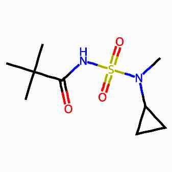 CN(C1CC1)S(=O)(=O)NC(=O)C(C)(C)C